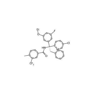 CCOc1cc(F)cc([C@](Cc2ccccc2)(NC(=O)c2ccc(C)c(C(F)(F)F)c2)c2ccc(Cl)cn2)c1